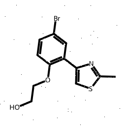 Cc1nc(-c2cc(Br)ccc2OCCO)cs1